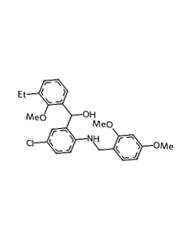 CCc1cccc(C(O)c2cc(Cl)ccc2NCc2ccc(OC)cc2OC)c1OC